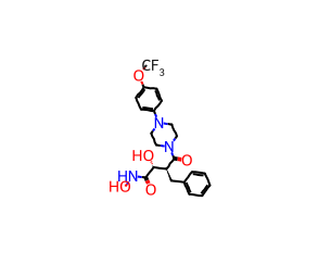 O=C(NO)[C@H](O)[C@H](Cc1ccccc1)C(=O)N1CCN(c2ccc(OC(F)(F)F)cc2)CC1